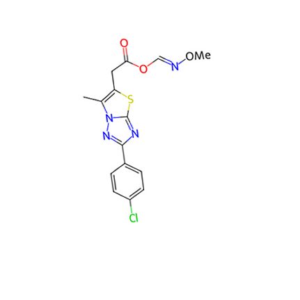 CON=COC(=O)Cc1sc2nc(-c3ccc(Cl)cc3)nn2c1C